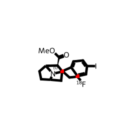 COC(=O)[C@H]1C(c2ccc(I)cc2)CC2CCC1N2CCC[18F]